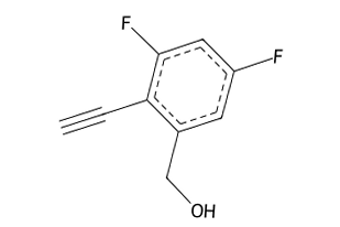 C#Cc1c(F)cc(F)cc1CO